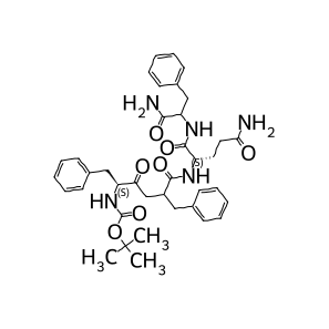 CC(C)(C)OC(=O)N[C@@H](Cc1ccccc1)C(=O)CC(Cc1ccccc1)C(=O)N[C@@H](CCC(N)=O)C(=O)NC(Cc1ccccc1)C(N)=O